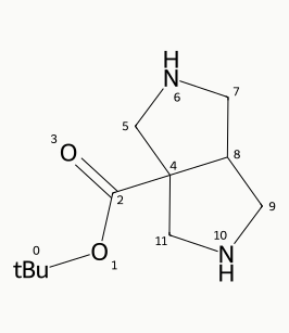 CC(C)(C)OC(=O)C12CNCC1CNC2